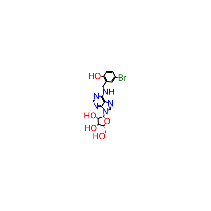 OC[C@H]1OC(n2cnc3c(NCc4cc(Br)ccc4O)ncnc32)[C@H](O)[C@@H]1O